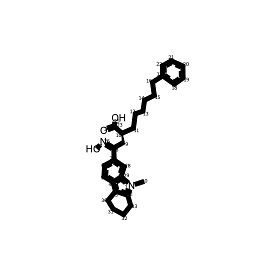 Cn1c2c(c3ccc(C(C[C@H](CCCCCCc4ccccc4)C(=O)O)=NO)cc31)CCCC2